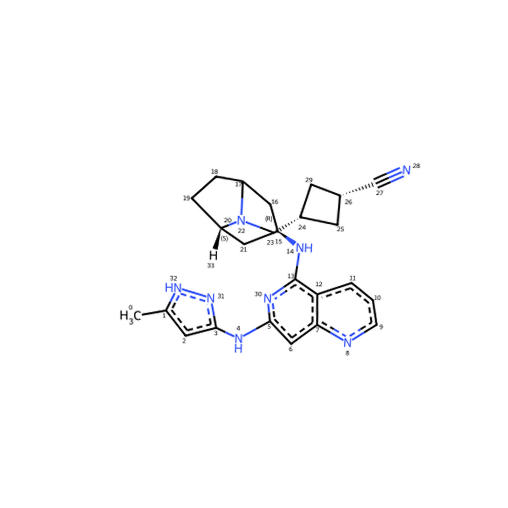 Cc1cc(Nc2cc3ncccc3c(N[C@@H]3CC4CC[C@@H](C3)N4C[C@H]3C[C@@H](C#N)C3)n2)n[nH]1